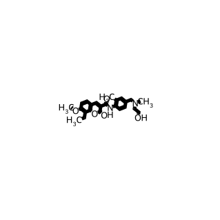 CCc1c(OC)ccc2cc(C(=O)Nc3ccc(CN(C)CCO)cc3C)c(=O)oc12